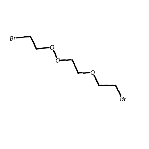 BrCCOCCOOCCBr